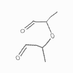 CC(C=O)OC(C)C=O